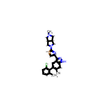 Cc1cccc(F)c1-c1cc2c(-c3csc(N4CC5CN(C)CC5C4)n3)n[nH]c2cc1C#N